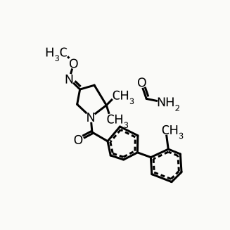 CON=C1CN(C(=O)c2ccc(-c3ccccc3C)cc2)C(C)(C)C1.NC=O